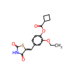 CCOc1cc(/C=C2\SC(=O)NC2=O)ccc1OC(=O)C1CCC1